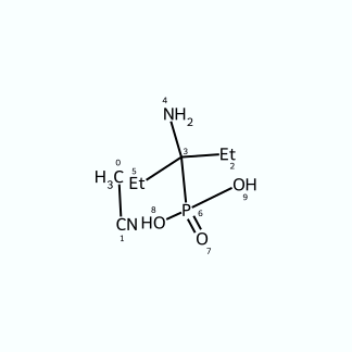 CC#N.CCC(N)(CC)P(=O)(O)O